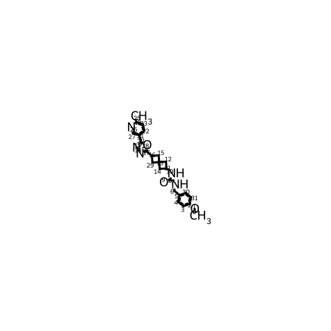 COc1ccc(CNC(=O)NC2CC3(C2)CC(c2nnc(-c4ccc(C)nc4)o2)C3)cc1